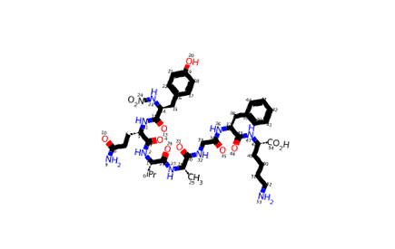 CC(C)[C@H](NC(=O)[C@H](CCC(N)=O)NC(=O)[C@H](Cc1ccc(O)cc1)N[N+](=O)[O-])C(=O)N[C@@H](C)C(=O)NCC(=O)N[C@@H](Cc1ccccc1)C(=O)N[C@@H](CCCCN)C(=O)O